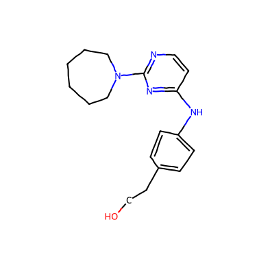 OCCc1ccc(Nc2ccnc(N3CCCCCC3)n2)cc1